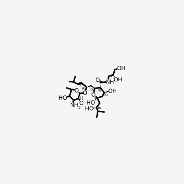 CC(C)/C=C/[C@@H](C[C@@H]1O[C@](O)(C[C@@H](O)C(C)C)C[C@H](O)[C@H]1C(=O)NC[C@@H](O)CO)OC1OC(C)C(O)C(N)C1O